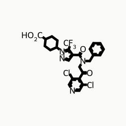 O=C(CN(Cc1ccccc1)C(=O)c1cnn(C2CCC(C(=O)O)CC2)c1C(F)(F)F)c1c(Cl)cncc1Cl